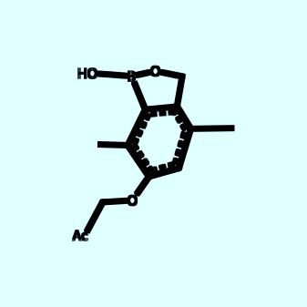 CC(=O)COc1cc(C)c2c(c1C)B(O)OC2